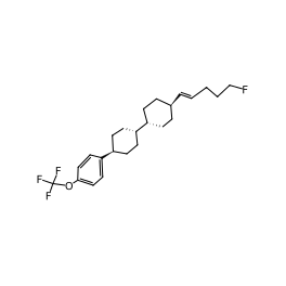 FCCCC=C[C@H]1CC[C@H]([C@H]2CC[C@H](c3ccc(OC(F)(F)F)cc3)CC2)CC1